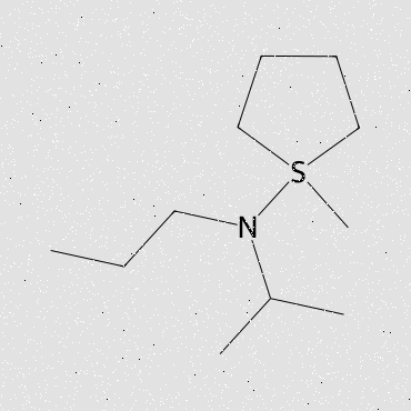 CCCN(C(C)C)S1(C)CCCC1